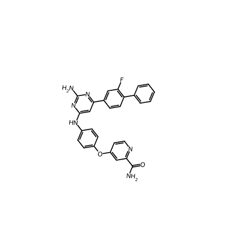 NC(=O)c1cc(Oc2ccc(Nc3cc(-c4ccc(-c5ccccc5)c(F)c4)nc(N)n3)cc2)ccn1